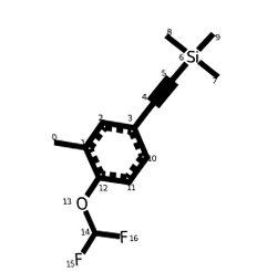 Cc1cc(C#C[Si](C)(C)C)ccc1OC(F)F